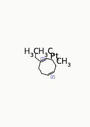 CC/C1=C/CC/C=C\CC1.[CH3][Pt][CH3]